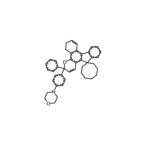 C1=Cc2c(c3c(c4c2-c2ccccc2C42CCCCCCC2)C=CC(c2ccccc2)(c2ccc(N4CCOCC4)cc2)O3)CC1